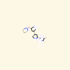 Cc1nc(-c2cc(-c3cncc(C(=O)N4C5CCC4CC5)c3)ccn2)[nH]c1C